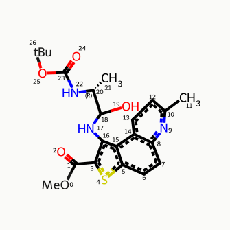 COC(=O)c1sc2ccc3nc(C)ccc3c2c1NC(O)[C@@H](C)NC(=O)OC(C)(C)C